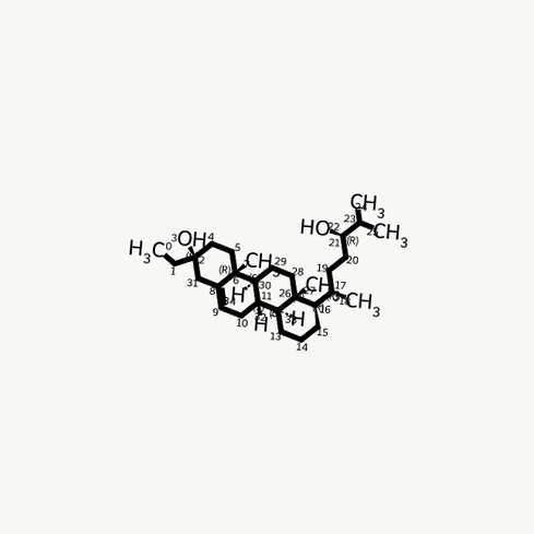 CC[C@]1(O)CC[C@@]2(C)C(=CC[C@H]3[C@@H]4CCC[C@H]([C@H](C)CC[C@@H](O)C(C)C)[C@@]4(C)CC[C@@H]32)C1